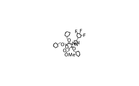 COC(=O)C=C1O[C@H](COCc2ccccc2)[C@H](OCc2ccccc2)[C@H](n2cc(-c3cc(F)c(F)c(F)c3)nn2)[C@H]1OCc1ccccc1